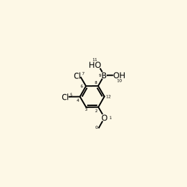 COc1cc(Cl)c(Cl)c(B(O)O)c1